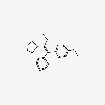 CCC(=C(c1ccccc1)c1ccc(OC)cc1)C1CCCC1